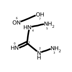 N=C(NN)NN.O=NO